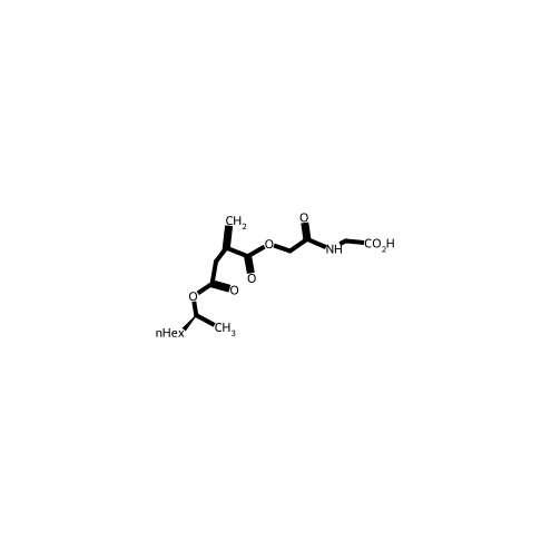 C=C(CC(=O)O[C@@H](C)CCCCCC)C(=O)OCC(=O)NCC(=O)O